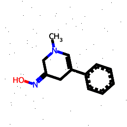 CN1C=C(c2ccccc2)CC(=NO)C1